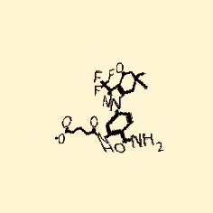 COC(=O)CCCC(=O)Nc1cc(-n2nc(C(F)(F)F)c3c2CC(C)(C)CC3=O)ccc1C(N)=O